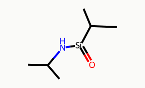 CC(C)N[Si](=O)C(C)C